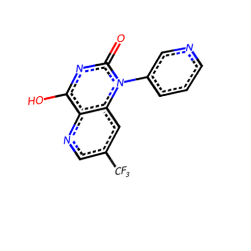 O=c1nc(O)c2ncc(C(F)(F)F)cc2n1-c1cccnc1